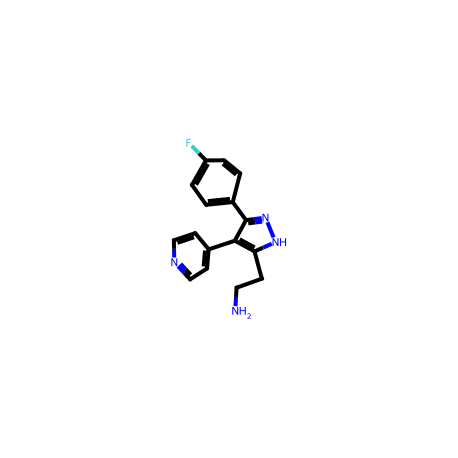 NCCc1[nH]nc(-c2ccc(F)cc2)c1-c1ccncc1